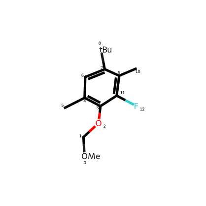 COCOc1c(C)cc(C(C)(C)C)c(C)c1F